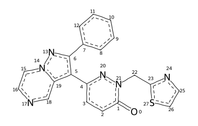 O=c1ccc(-c2c(-c3ccccc3)nn3ccncc23)nn1Cc1nccs1